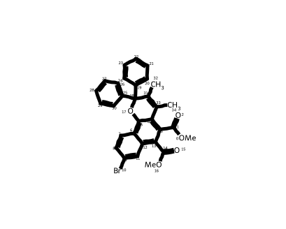 COC(=O)c1c2c(c3ccc(Br)cc3c1C(=O)OC)OC(c1ccccc1)(c1ccccc1)C(C)=C2C